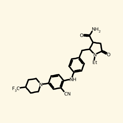 CCN1C(=O)CC(C(N)=O)C1Cc1ccc(Nc2ccc(N3CCC(C(F)(F)F)CC3)cc2C#N)cc1